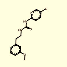 COc1cccc(CCNC(=O)Nc2ccc(Cl)cn2)c1